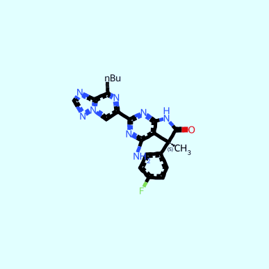 CCCCc1nc(-c2nc(N)c3c(n2)NC(=O)[C@@]3(C)c2ccc(F)cc2)cn2ncnc12